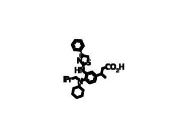 CC(C)CN(c1ccc(C(C)CC(=O)O)cc1NC1=N[C@H](c2ccccc2)CS1)C1CCCCC1